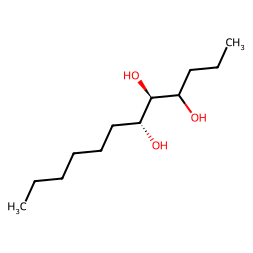 CCCCCC[C@@H](O)[C@@H](O)C(O)CCC